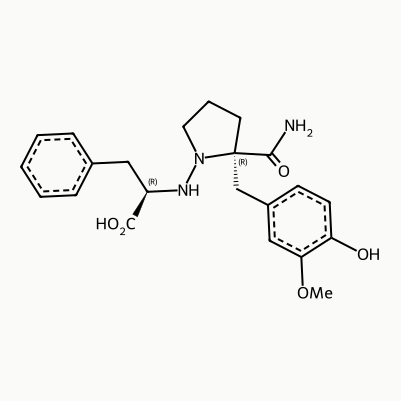 COc1cc(C[C@@]2(C(N)=O)CCCN2N[C@H](Cc2ccccc2)C(=O)O)ccc1O